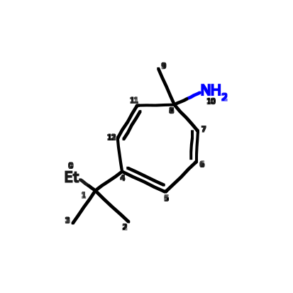 CCC(C)(C)C1=CC=CC(C)(N)C=C1